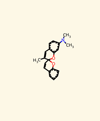 CC1=Cc2ccc(N(C)C)cc2OC12C=Cc1ccccc1O2